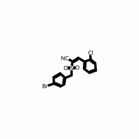 N#C/C(=C/c1ccccc1Cl)S(=O)(=O)Cc1ccc(Br)cc1